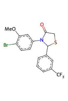 COc1cc(N2C(=O)CSC2c2cccc(C(F)(F)F)c2)ccc1Br